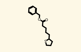 O=C(CCCCC1CCCS1)OCc1ccccc1